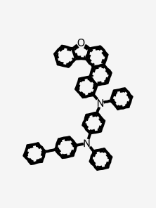 c1ccc(-c2ccc(N(c3ccccc3)c3ccc(N(c4ccccc4)c4cccc5c4ccc4ccc6oc7ccccc7c6c45)cc3)cc2)cc1